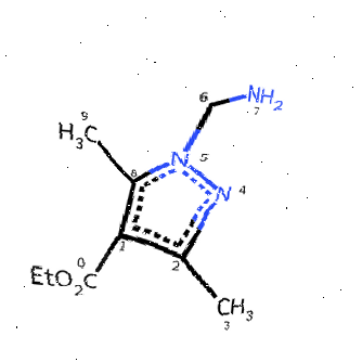 CCOC(=O)c1c(C)nn(CN)c1C